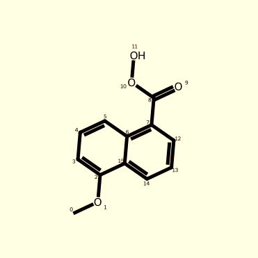 COc1cccc2c(C(=O)OO)cccc12